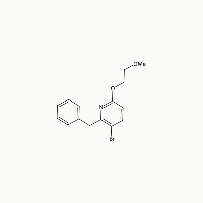 COCCOc1ccc(Br)c(Cc2ccccc2)n1